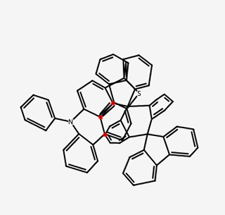 c1ccc(N(c2ccc3c(c2)C2(c4ccccc4-3)c3ccccc3C3(c4ccccc4-c4ccccc43)c3ccccc32)c2ccccc2-c2ccc3sc4ccccc4c3c2)cc1